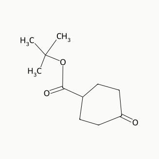 CC(C)(C)OC(=O)C1CCC(=O)CC1